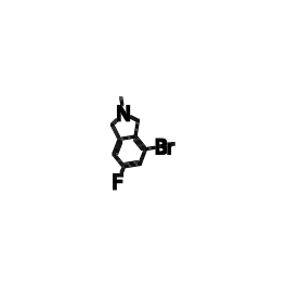 CN1Cc2cc(F)cc(Br)c2C1